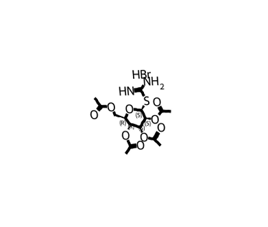 Br.CC(=O)OC[C@H]1O[C@@H](SC(=N)N)[C@@H](OC(C)=O)[C@@H](OC(C)=O)[C@@H]1OC(C)=O